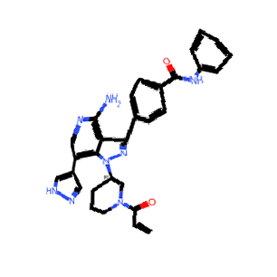 C=CC(=O)N1CCC[C@@H](n2nc(-c3ccc(C(=O)Nc4ccccc4)cc3)c3c(N)ncc(-c4cn[nH]c4)c32)C1